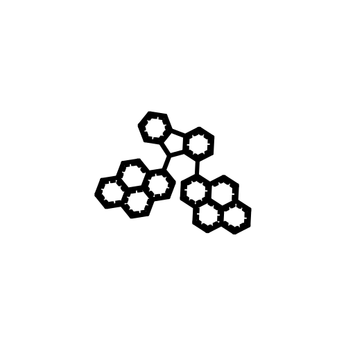 c1ccc2c(c1)-c1cccc(-c3ccc4ccc5cccc6ccc3c4c56)c1C2c1ccc2ccc3cccc4ccc1c2c34